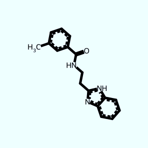 Cc1cccc(C(=O)NCCc2nc3ccccc3[nH]2)c1